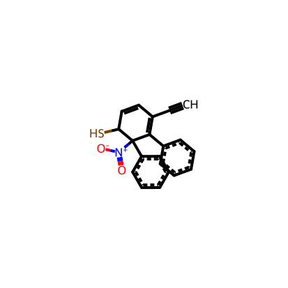 C#CC1=C(c2ccccc2)C(c2ccccc2)([N+](=O)[O-])C(S)C=C1